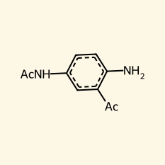 CC(=O)Nc1ccc(N)c(C(C)=O)c1